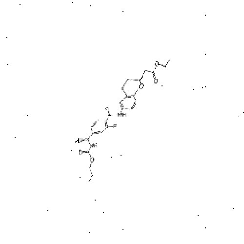 CCCOC(=O)NC(=N)c1ccc(C(=O)Nc2ccc3c(c2)CCC(CC(=O)OCC)O3)c(F)c1